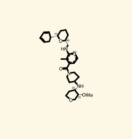 CO[C@@H]1COCC[C@@H]1NC1CCN(C(=O)c2ccnc(NC[C@H]3CCC[C@@H](C4C=CC=CC4)O3)c2C)CC1